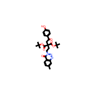 Cc1ccc2c(=O)n(CCC(CC(=O)c3ccc(O)cc3)(C(=O)OC(C)(C)C)C(=O)OC(C)(C)C)nnc2c1